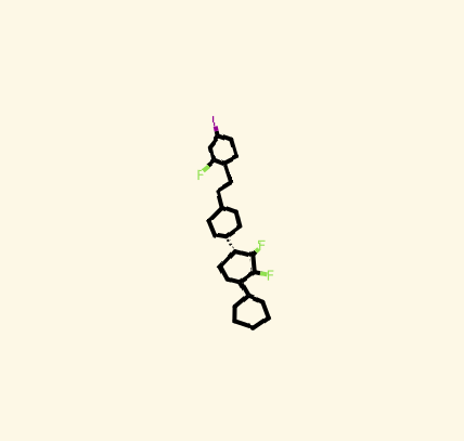 FC1CC(I)CCC1CCC1CCC([C@H]2CCC(C3CCCCC3)C(F)C2F)CC1